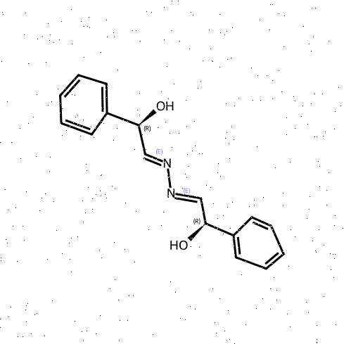 O[C@@H](/C=N/N=C/[C@H](O)c1ccccc1)c1ccccc1